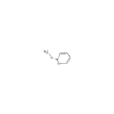 CON1C=CC=CO1